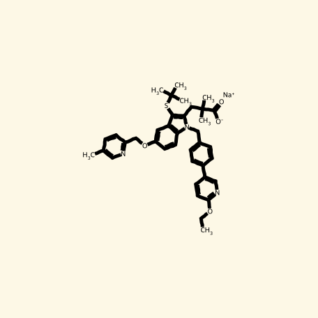 CCOc1ccc(-c2ccc(Cn3c(CC(C)(C)C(=O)[O-])c(SC(C)(C)C)c4cc(OCc5ccc(C)cn5)ccc43)cc2)cn1.[Na+]